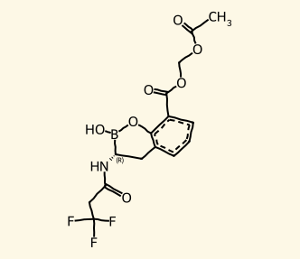 CC(=O)OCOC(=O)c1cccc2c1OB(O)[C@@H](NC(=O)CC(F)(F)F)C2